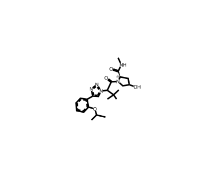 CNC(=O)[C@H]1CC(O)CN1C(=O)C(n1cc(-c2ccccc2OC(C)C)nn1)C(C)(C)C